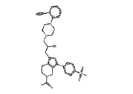 CC(=O)N1CCc2c(c(-c3ccc(S(C)(=O)=O)cc3)nn2CC(O)CN2CCN(c3ccccc3C#N)CC2)C1